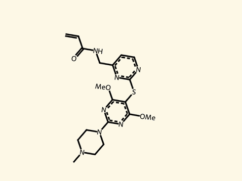 C=CC(=O)NCc1ccnc(Sc2c(OC)nc(N3CCN(C)CC3)nc2OC)n1